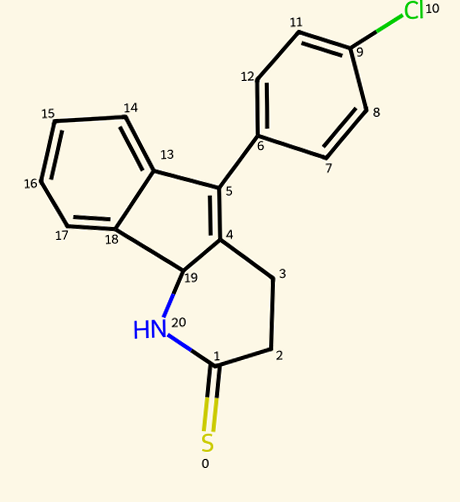 S=C1CCC2=C(c3ccc(Cl)cc3)c3ccccc3C2N1